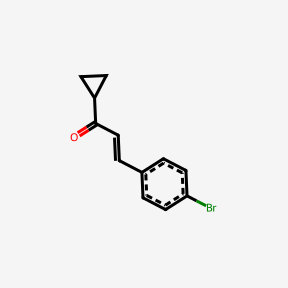 O=C(C=Cc1ccc(Br)cc1)C1CC1